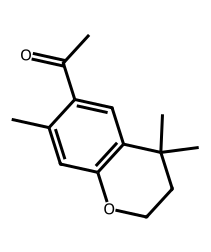 CC(=O)c1cc2c(cc1C)OCCC2(C)C